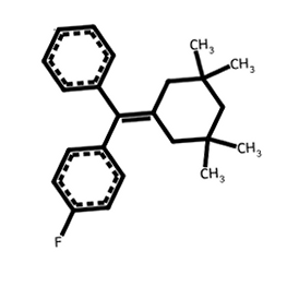 CC1(C)CC(=C(c2cc[c]cc2)c2ccc(F)cc2)CC(C)(C)C1